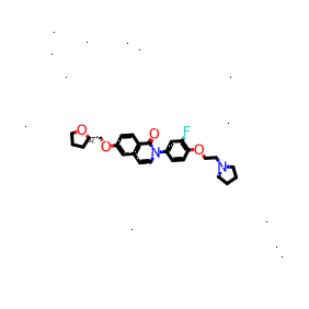 O=c1c2ccc(OC[C@@H]3CCCO3)cc2ccn1-c1ccc(OCCN2CCCC2)c(F)c1